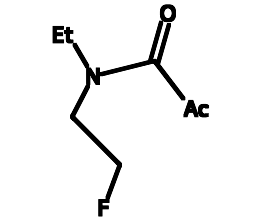 CCN(CCF)C(=O)C(C)=O